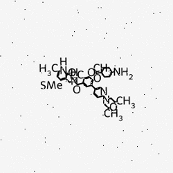 CSc1cc(C)[nH]c(=O)c1CNC(=O)c1cc(-c2ccc(N3CC(C)OC(C)C3)nc2)c2c(c1C)OC(C)(C1CCC(N)CC1)O2